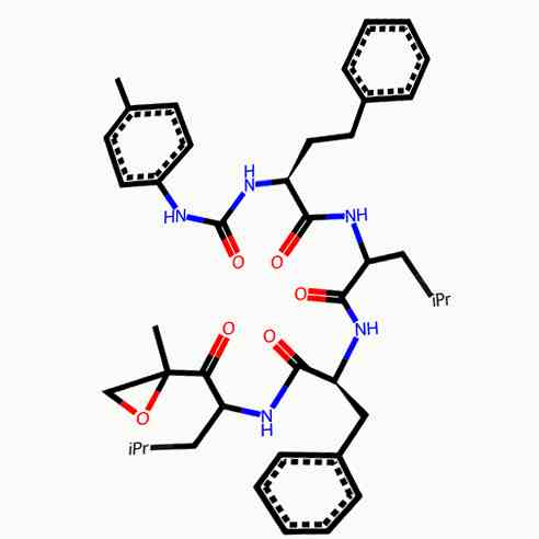 Cc1ccc(NC(=O)N[C@@H](CCc2ccccc2)C(=O)NC(CC(C)C)C(=O)N[C@@H](Cc2ccccc2)C(=O)NC(CC(C)C)C(=O)C2(C)CO2)cc1